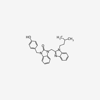 CC(C)CCn1c(Cn2c(=O)n(Cc3ccc(O)cc3)c3ccccc32)nc2ccccc21